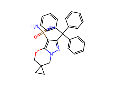 N=S(N)(=O)c1c(C(c2ccccc2)(c2ccccc2)c2ccccc2)nn2c1OCC1(CC1)C2